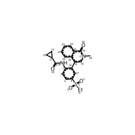 CCS(=O)(=O)c1ccc(NC(=O)C2CC2)c(-c2cn(C)c(=O)c3ccccc23)c1